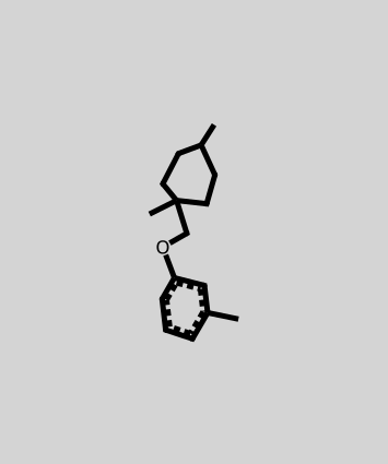 Cc1cccc(OCC2(C)CCC(C)CC2)c1